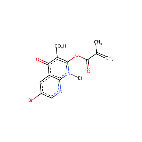 C=C(C)C(=O)Oc1c(C(=O)O)c(=O)c2cc(Br)cnc2n1CC